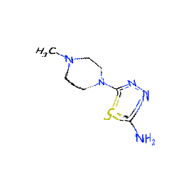 CN1CCN(c2nnc(N)s2)CC1